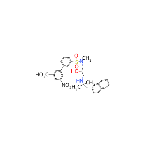 CN(C[C@H](O)CNC(C)(C)Cc1ccc2ccccc2c1)S(=O)(=O)c1cccc(-c2cc(C(=O)O)cc([N+](=O)[O-])c2)c1